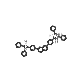 C1=CC(C2NC(c3ccccc3)N2c2ccccc2)CC=C1c1ccc2ccc(-c3ccc(C4NC(c5ccccc5)NC(c5ccccc5)N4)cc3)cc2c1